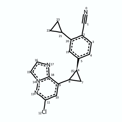 N#Cc1ccc([C@H]2CC2c2cc(Cl)nn3ccnc23)cc1C1CC1